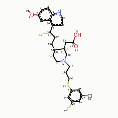 COc1ccc2nccc([C@H](F)CC[C@@H]3CCN(CCCSc4cc(F)cc(Cl)c4)C[C@@H]3CC(=O)O)c2c1